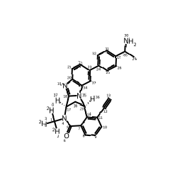 [2H]C([2H])([2H])N1C(=O)c2cccc(C#C)c2[C@H]2C[C@@H]1c1nc3ccc(-c4ccc(C(C)N)cc4)cc3n12